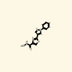 CCCCNC(=O)c1csc(-c2cnn(-c3ccccc3)c2)n1